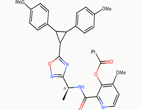 COc1ccc(C2C(c3ccc(OC)cc3)C2c2nc([C@H](C)NC(=O)c3nccc(OC)c3OC(=O)C(C)C)no2)cc1